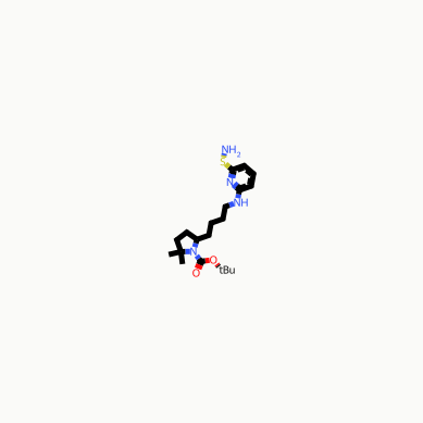 CC(C)(C)OC(=O)N1C(CCCCNc2cccc(SN)n2)CCC1(C)C